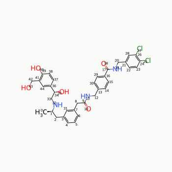 C[C@H](Cc1cccc(CC(=O)NCc2ccc(C(=O)NCc3ccc(Cl)c(Cl)c3)cc2)c1)NC[C@H](O)c1ccc(O)c(CO)c1